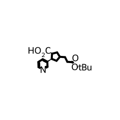 CC(C)(C)OC(=O)CCC1C[C@@H](C(=O)O)[C@H](c2cccnc2)C1